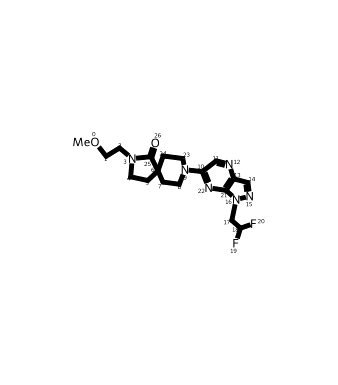 COCCN1CCC2(CCN(c3cnc4cnn(CC(F)F)c4n3)CC2)C1=O